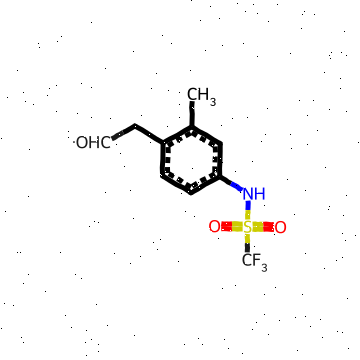 Cc1cc(NS(=O)(=O)C(F)(F)F)ccc1C[C]=O